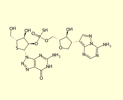 Nc1nc2c(nnn2[C@@H]2S[C@H](CO)[C@@H](O)[C@H]2OP(=O)(S)OC[C@H]2OC[C@@H](c3cnn4c(N)ncnc34)[C@@H]2O)c(=O)[nH]1